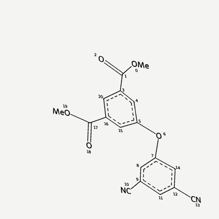 COC(=O)c1cc(Oc2cc(C#N)cc(C#N)c2)cc(C(=O)OC)c1